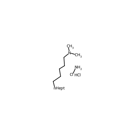 CCCCCCCCCCCCN(C)C.Cl.NCl